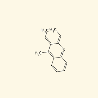 C/C=c1/c(C)c2ccccc2n/c1=C/C